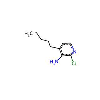 CCCCCc1ccnc(Cl)c1N